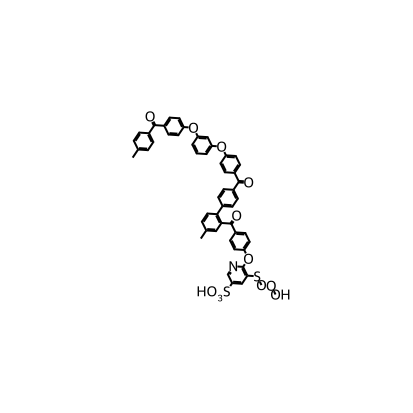 Cc1ccc(C(=O)c2ccc(Oc3cccc(Oc4ccc(C(=O)c5ccc(-c6ccc(C)cc6C(=O)c6ccc(Oc7ncc(S(=O)(=O)O)cc7SOOO)cc6)cc5)cc4)c3)cc2)cc1